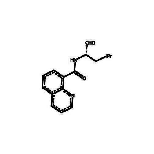 CC(C)C[C@@H](C=O)NC(=O)c1cccc2cccnc12